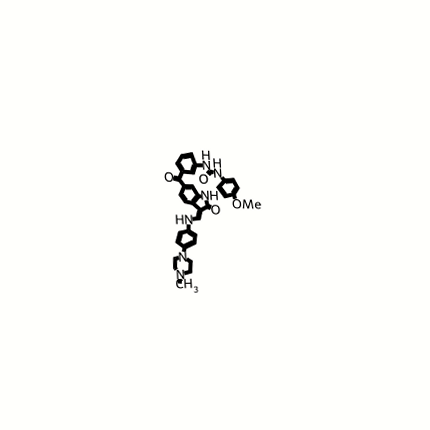 COc1ccc(NC(=O)Nc2cccc(C(=O)c3ccc4c(c3)NC(=O)C4=CNc3ccc(N4CCN(C)CC4)cc3)c2)cc1